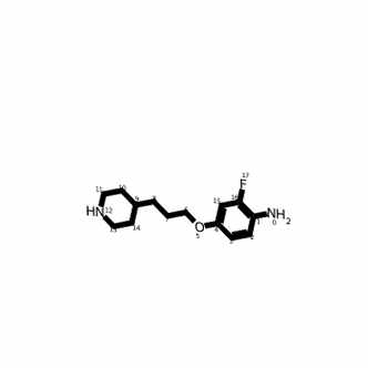 Nc1ccc(OCCCC2CCNCC2)cc1F